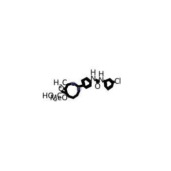 C=C1/C=C\C(c2ccc(NC(=O)Nc3cccc(Cl)c3)cc2)=C/CCCC(CC(=O)O)(OC)C1=O